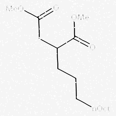 CCCCCCCCCCCC(CC(=O)OC)C(=O)OC